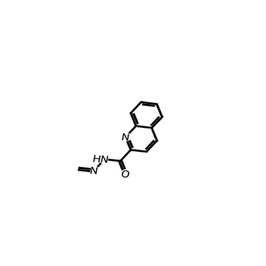 C=NNC(=O)c1ccc2ccccc2n1